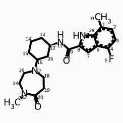 Cc1ccc(F)c2cc(C(=O)N[C@@H]3CCCC(N4CCC(=O)N(C)CC4)C3)[nH]c12